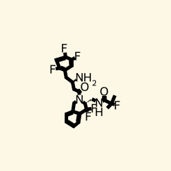 CC(C)(F)C(=O)NC[C@H]1N(C(=O)C[C@H](N)Cc2cc(F)c(F)cc2F)Cc2ccccc2C1(F)F